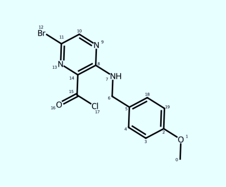 COc1ccc(CNc2ncc(Br)nc2C(=O)Cl)cc1